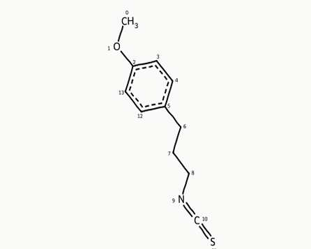 COc1ccc(CCCN=C=S)cc1